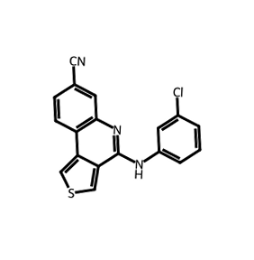 N#Cc1ccc2c(c1)nc(Nc1cccc(Cl)c1)c1cscc12